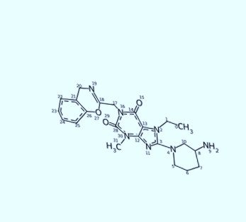 CCn1c(N2CCCC(N)C2)nc2c1c(=O)n(CC1=NCc3ccccc3O1)c(=O)n2C